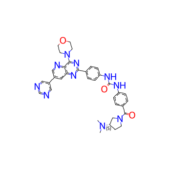 CN(C)[C@H]1CCN(C(=O)c2ccc(NC(=O)Nc3ccc(-c4nc(N5CCOCC5)c5ncc(-c6cncnc6)cc5n4)cc3)cc2)C1